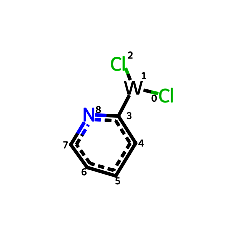 [Cl][W]([Cl])[c]1ccccn1